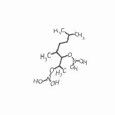 CC(C)CCC(C)C(ON(O)O)C(C)ON(O)O